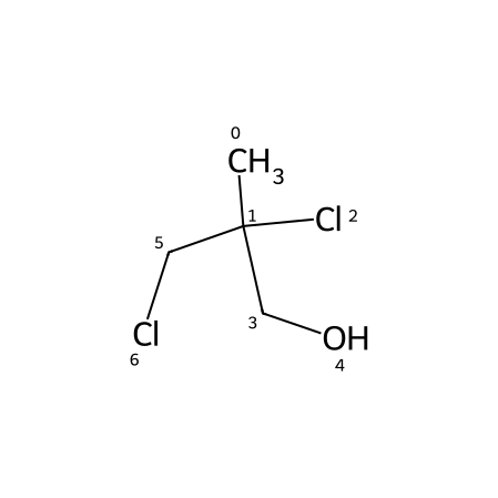 CC(Cl)(CO)CCl